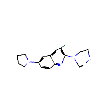 Clc1cc2cc(N3CCCC3)ccc2nc1N1CCNCC1